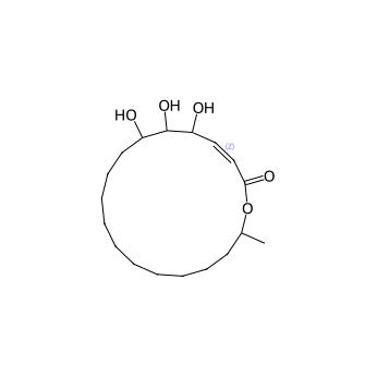 CC1CCCCCCCCCCC(O)C(O)C(O)/C=C\C(=O)O1